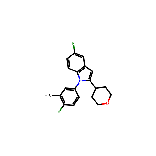 Cc1cc(-n2c(C3CCOCC3)cc3cc(F)ccc32)ccc1F